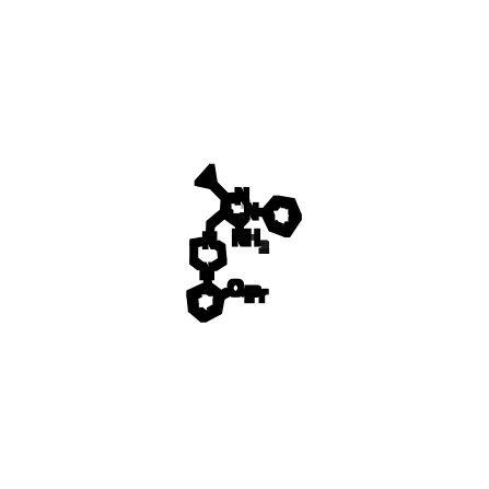 CC(C)Oc1ccccc1N1CCN(Cc2c(C3CC3)nn(-c3ccccc3)c2N)CC1